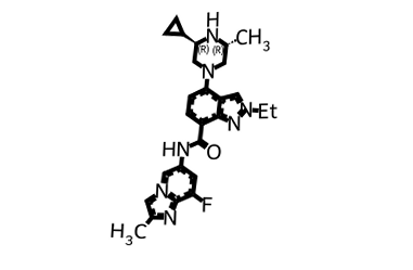 CCn1cc2c(N3C[C@@H](C)N[C@H](C4CC4)C3)ccc(C(=O)Nc3cc(F)c4nc(C)cn4c3)c2n1